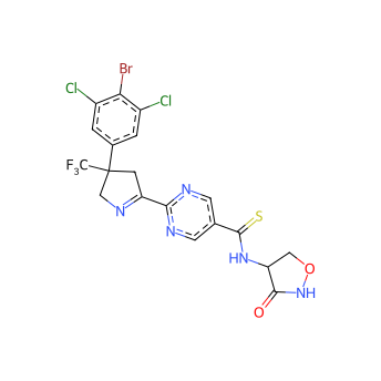 O=C1NOCC1NC(=S)c1cnc(C2=NCC(c3cc(Cl)c(Br)c(Cl)c3)(C(F)(F)F)C2)nc1